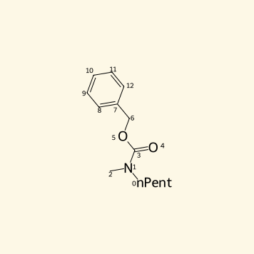 CCCCCN(C)C(=O)OCc1ccccc1